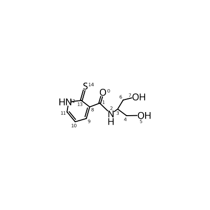 O=C(NC(CO)CO)c1ccc[nH]c1=S